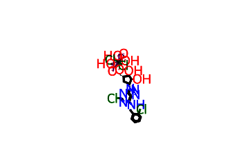 O=P(O)(O)C(Cl)(Cl)P(=O)(O)OC[C@H]1C[C@@H](n2nnc3c(NCc4ccccc4Cl)nc(Cl)nc32)[C@H](O)[C@@H]1O